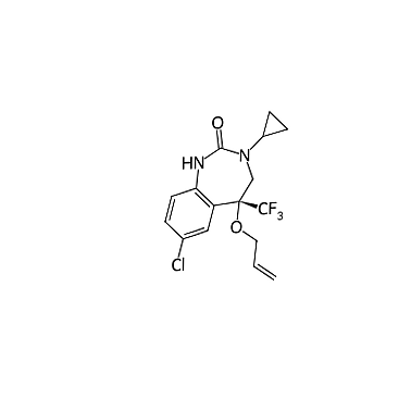 C=CCO[C@@]1(C(F)(F)F)CN(C2CC2)C(=O)Nc2ccc(Cl)cc21